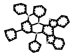 c1ccc(-c2cc3c4c(c2)N(c2ccccc2)c2c(c5oc6ccccc6c5c5c2oc2ccccc25)B4c2ccccc2N3c2ccccc2)cc1